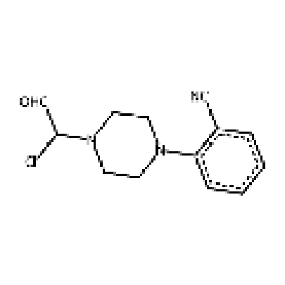 N#Cc1ccccc1N1CCN(C(Cl)C=O)CC1